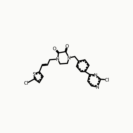 O=C1C(=O)N(Cc2ccc(-c3ccnc(Cl)n3)cc2)CCN1C/C=C/c1ccc(Cl)s1